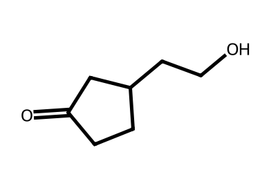 O=C1CCC(CCO)C1